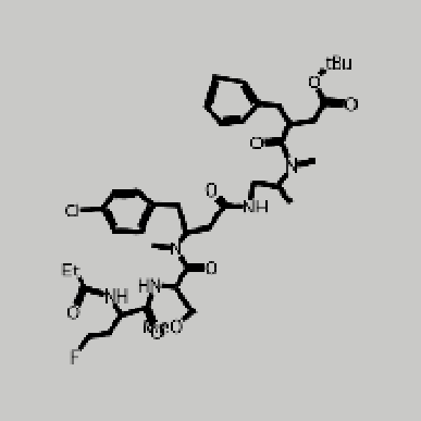 CCC(=O)NC(CCF)C(=O)NC(COC)C(=O)N(C)C(CC(=O)NCC(C)N(C)C(=O)C(CC(=O)OC(C)(C)C)Cc1ccccc1)Cc1ccc(Cl)cc1